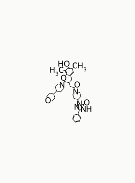 Cc1cc(C[C@@H](CC(=O)N2CCC(n3nc(-c4ccccc4)[nH]c3=O)CC2)C(=O)N2CCC(C3CCOCC3)CC2)cc(C)c1O